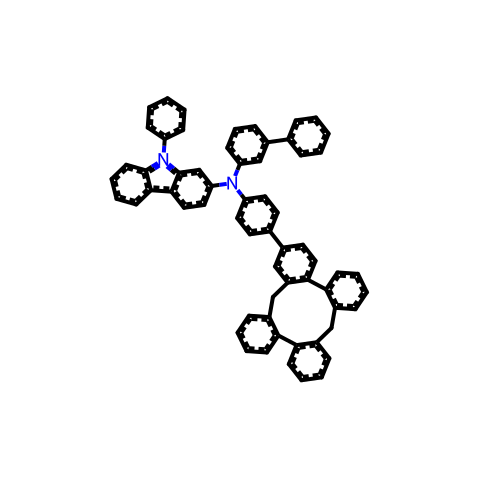 c1ccc(-c2cccc(N(c3ccc(-c4ccc5c(c4)Cc4ccccc4-c4ccccc4Cc4ccccc4-5)cc3)c3ccc4c5ccccc5n(-c5ccccc5)c4c3)c2)cc1